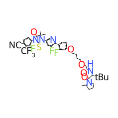 CC1CCCN1C(=O)C(NC(=O)COCCCCOc1ccc(-c2ncc(N3C(=S)N(c4ccc(C#N)c(C(F)(F)F)c4F)C(=O)C3(C)C)cc2F)c(F)c1)C(C)(C)C